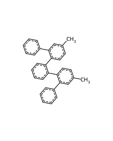 Cc1ccc(-c2ccccc2-c2ccc(C)cc2-c2ccccc2)c(-c2ccccc2)c1